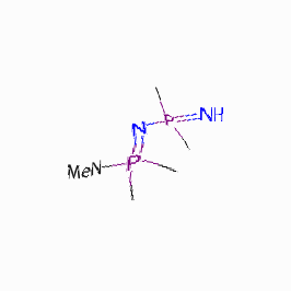 CNP(C)(C)=NP(C)(C)=N